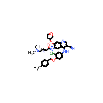 Cc1ccc(COc2ccc(Nc3c(C#N)cnc4cc(O[C@H]5CCOC5)c(NC(=O)/C=C/CN(C)C)cc34)cc2Cl)cc1